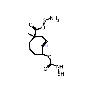 CC1(C(=O)OSN)C/C=C/C(OC(=O)NS)CCC1